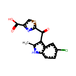 Cc1[nH]c2ccc(Cl)cc2c1C(=O)c1nc(C(=O)O)cs1